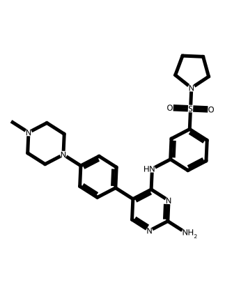 CN1CCN(c2ccc(-c3cnc(N)nc3Nc3cccc(S(=O)(=O)N4CCCC4)c3)cc2)CC1